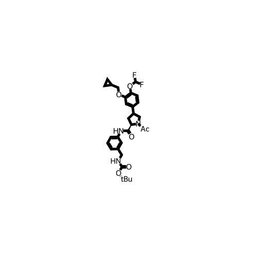 CC(=O)N1CC(c2ccc(OC(F)F)c(OCC3CC3)c2)C[C@@H]1C(=O)Nc1cccc(CNC(=O)OC(C)(C)C)c1